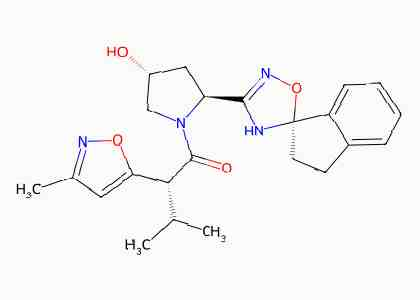 Cc1cc([C@H](C(=O)N2C[C@H](O)C[C@H]2C2=NO[C@]3(CCc4ccccc43)N2)C(C)C)on1